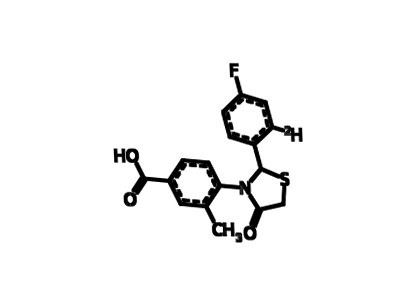 [2H]c1cc(F)ccc1C1SCC(=O)N1c1ccc(C(=O)O)cc1C